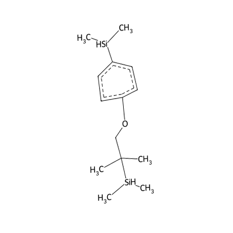 C[SiH](C)c1ccc(OCC(C)(C)[SiH](C)C)cc1